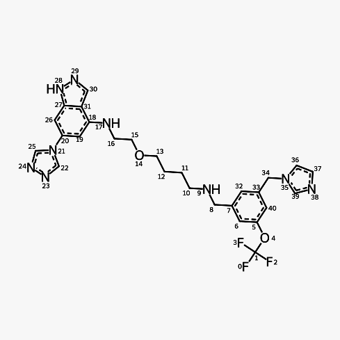 FC(F)(F)Oc1cc(CNCCCCOCCNc2cc(-n3cnnc3)cc3[nH]ncc23)cc(Cn2ccnc2)c1